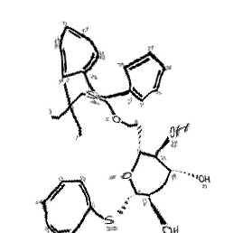 CC(C)(C)[Si](OC[C@H]1O[C@@H](Sc2ccccc2)[C@H](O)[C@@H](O)[C@@H]1O)(c1ccccc1)c1ccccc1